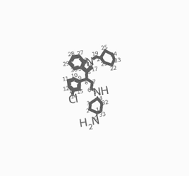 N[C@H]1CC[C@H](NCCC(c2cccc(Cl)c2)c2cn(CC3CCCCC3)c3ccccc23)CC1